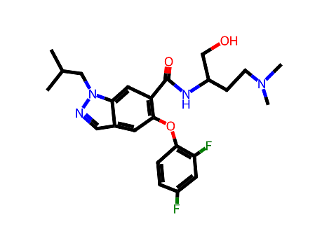 CC(C)Cn1ncc2cc(Oc3ccc(F)cc3F)c(C(=O)NC(CO)CCN(C)C)cc21